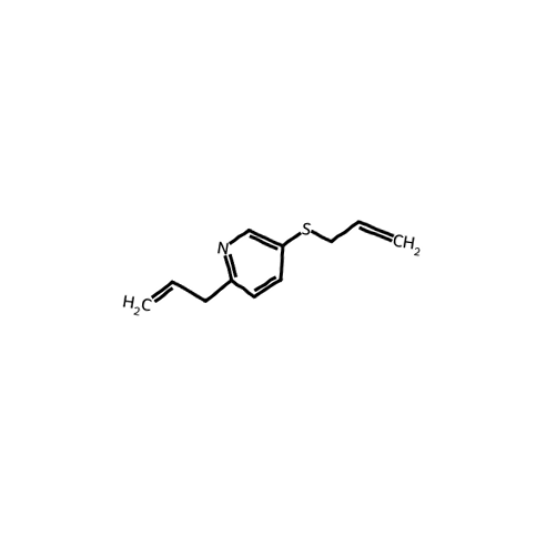 C=CCSc1ccc(CC=C)nc1